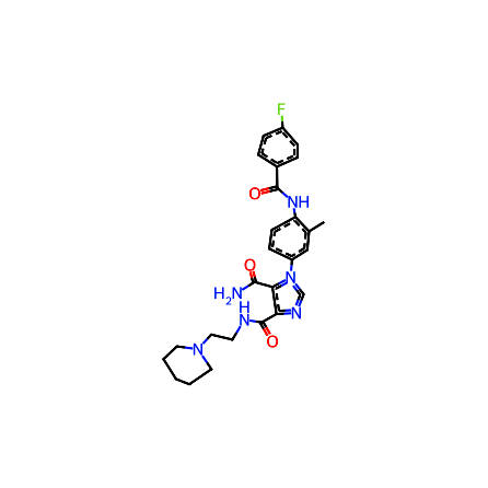 Cc1cc(-n2cnc(C(=O)NCCN3CCCCC3)c2C(N)=O)ccc1NC(=O)c1ccc(F)cc1